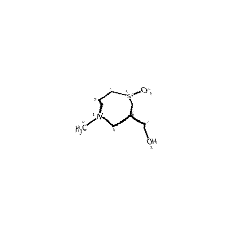 CN1CC[S+]([O-])C(CO)C1